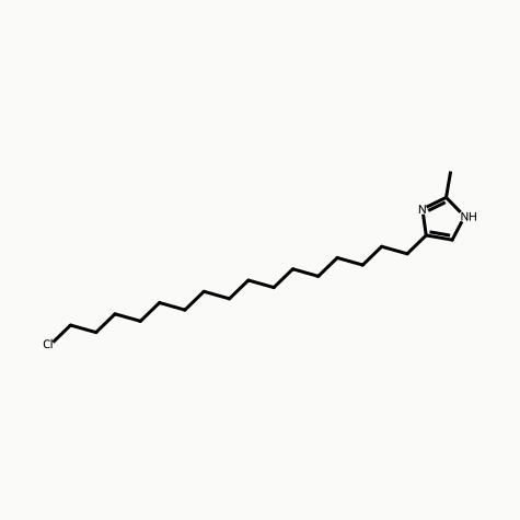 Cc1nc(CCCCCCCCCCCCCCCCCl)c[nH]1